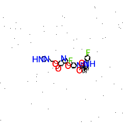 COc1cc2c(Oc3ccc(NC(=O)[C@@]4(C(=O)Nc5ccc(F)cc5)[C@H](C)[C@@H]4C)cc3F)ccnc2cc1OCCCN1CCNCC1